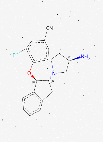 N#Cc1ccc(O[C@@H]2c3ccccc3C[C@H]2N2CC[C@@H](N)C2)c(F)c1